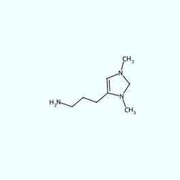 CN1C=C(CCCN)N(C)C1